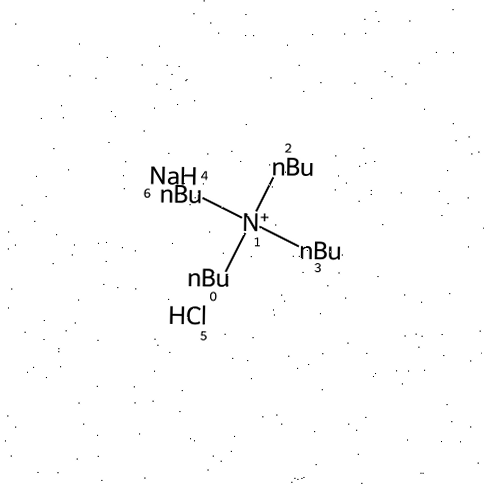 CCCC[N+](CCCC)(CCCC)CCCC.Cl.[NaH]